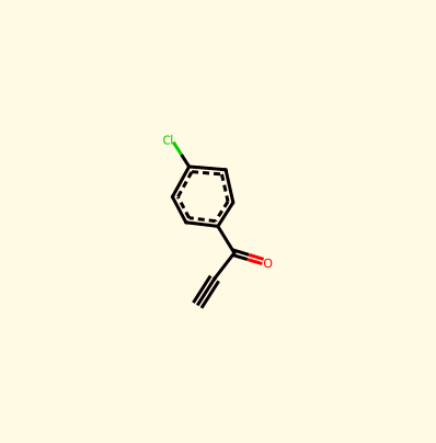 C#CC(=O)c1ccc(Cl)cc1